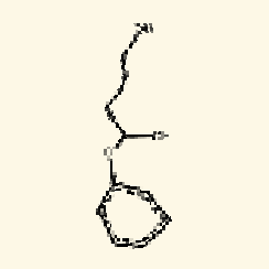 OCCCC(O)Oc1ccccc1